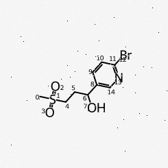 CS(=O)(=O)CCC(O)c1ccc(Br)nc1